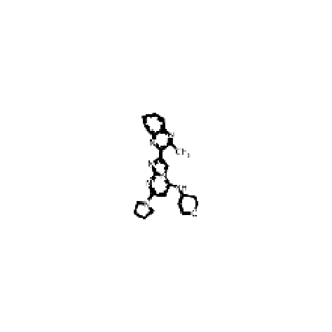 Cc1nc2ccccc2nc1-c1cn2c(NC3CCOCC3)cc(N3CCCC3)nc2n1